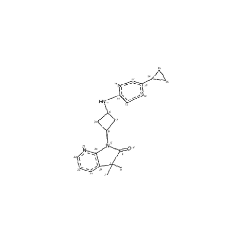 CC1(C)C(=O)N(C2CC(Nc3ccc(C4CC4)cn3)C2)c2ncccc21